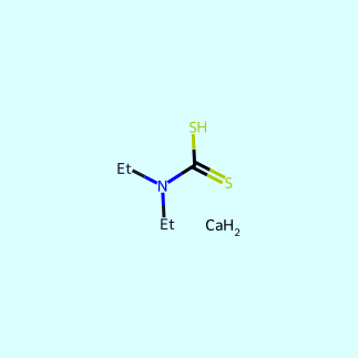 CCN(CC)C(=S)S.[CaH2]